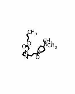 CCCCOC(=O)Cn1ccnc1CCC(=O)N1CCC(N(C)C)CC1